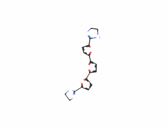 c1cc(-c2ccc(-c3ccc(C4=NCCN4)o3)o2)oc1C1=NCCN1